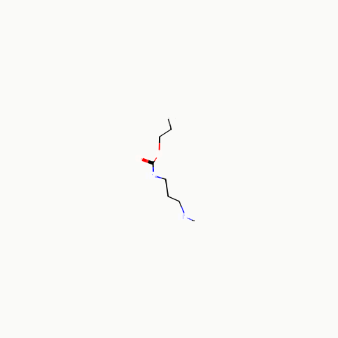 CCNCCCNC(=O)OCCC(F)(F)F